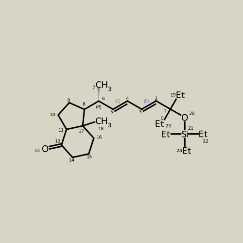 CCC(/C=C/C=C/[C@@H](C)C1CCC2C(=O)CCCC21C)(CC)O[Si](CC)(CC)CC